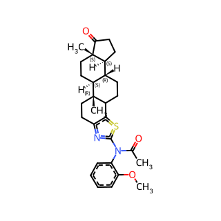 COc1ccccc1N(C(C)=O)c1nc2c(s1)C1CC[C@@H]3[C@H](CC[C@]4(C)C(=O)CC[C@@H]34)[C@@]1(C)CC2